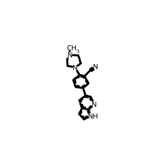 CN1CCN(c2ccc(-c3cnc4[nH]ccc4c3)cc2C#N)CC1